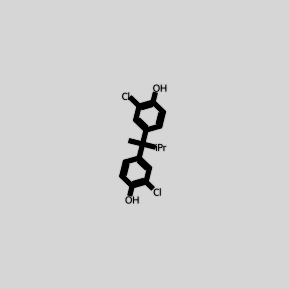 CC(C)C(C)(c1ccc(O)c(Cl)c1)c1ccc(O)c(Cl)c1